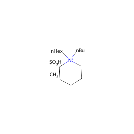 CCCCCC[N+]1(CCCC)CCCCC1.CS(=O)(=O)O